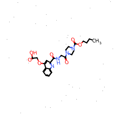 CCCCOC(=O)N1CCN(C(=O)CNC(=O)c2cc(OCC(=O)O)c3ccccc3n2)CC1